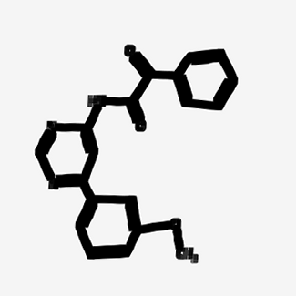 COc1cccc(-c2cc(NC(=O)C(=O)c3ccccc3)ncn2)c1